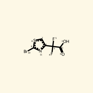 O=C(O)C(F)(F)c1csc(Br)n1